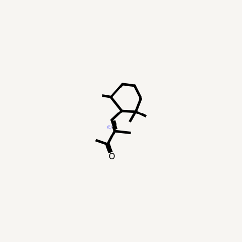 CC(=O)/C(C)=C/C1C(C)CCCC1(C)C